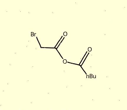 [CH2]CCCC(=O)OC(=O)CBr